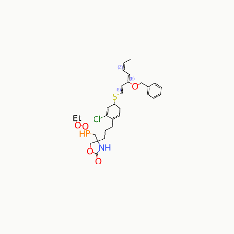 C\C=C/C=C(\C=C\SC1C=C(Cl)C(CCCC2(CPOOCC)COC(=O)N2)=CC1)OCc1ccccc1